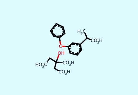 CC(C(=O)O)c1cccc(Oc2ccccc2)c1.O=C(O)CC(O)(CC(=O)O)C(=O)O